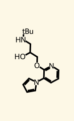 CC(C)(C)NCC(O)COc1ncccc1-n1cccc1